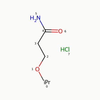 CC(C)OCCC(N)=O.Cl